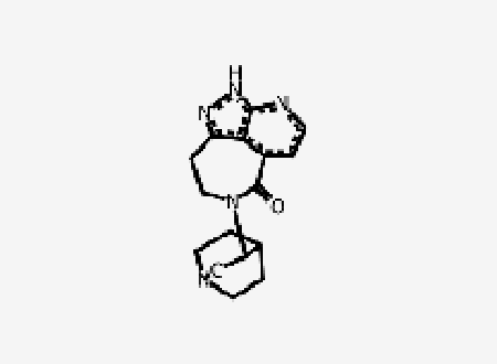 O=C1c2ccnc3[nH]nc(c23)CCN1C1CN2CCC1CC2